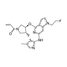 C=CC(=O)N1C[C@H](F)[C@H](Oc2nc(Nc3ncc(C)s3)cc3c2ccn3CCF)C1